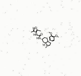 COc1ccc([C@@]23CC[C@@H](NC(=O)Nc4c(C)noc4C)C[C@@H]2N(C)CC3)cc1OC